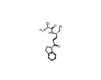 CC[C@H](N)C(=O)N[C@H](C=CC(=O)N1CCc2ccccc21)CC(C)C